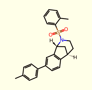 Cc1ccc(-c2ccc3c(c2)[C@H]2C[C@H]3CCN2S(=O)(=O)c2ccccc2C)cc1